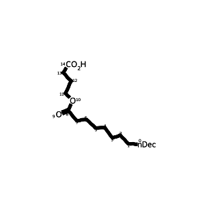 CCCCCCCCCCCCCCCCCC(=O)OCCCC(=O)O